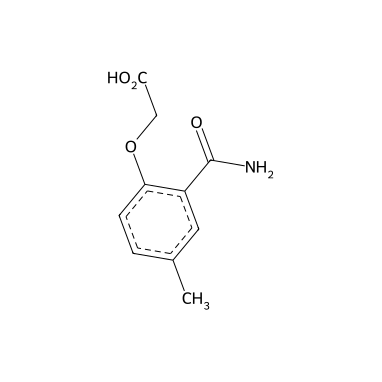 Cc1ccc(OCC(=O)O)c(C(N)=O)c1